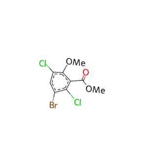 COC(=O)c1c(Cl)c(Br)cc(Cl)c1OC